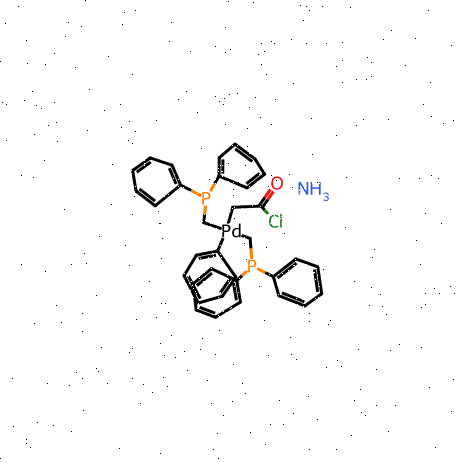 N.O=C(Cl)[CH2][Pd]([CH2]P(c1ccccc1)c1ccccc1)([CH2]P(c1ccccc1)c1ccccc1)[c]1ccccc1